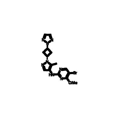 COc1nc(Nc2cnn([C@H]3C[C@H](n4nccn4)C3)c2C)ncc1Br